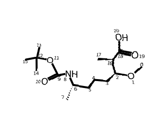 CO[C@@H](CCC[C@H](C)NC(=O)OC(C)(C)C)[C@@H](C)C(=O)O